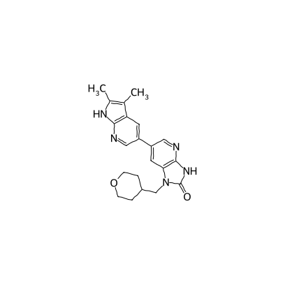 Cc1[nH]c2ncc(-c3cnc4[nH]c(=O)n(CC5CCOCC5)c4c3)cc2c1C